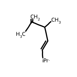 C=C(C)C(C)C=C[C](C)C